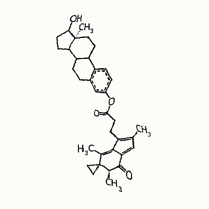 CC1=C(CCC(=O)Oc2ccc3c(c2)CCC2C3CC[C@]3(C)C(O)CCC23)C2=C(C)C3(CC3)[C@H](C)C(=O)C2=C1